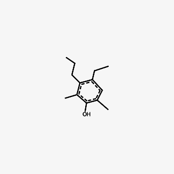 CCCc1c(CC)cc(C)c(O)c1C